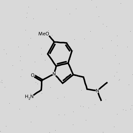 COc1ccc2c(CCN(C)C)cn(C(=O)CN)c2c1